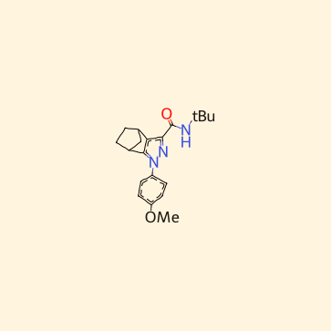 COc1ccc(-n2nc(C(=O)NC(C)(C)C)c3c2C2CCC3C2)cc1